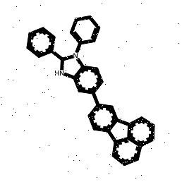 C1=CC(N2c3ccc(-c4ccc5c(c4)-c4cccc6cccc-5c46)cc3NC2c2ccccc2)=CCC1